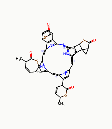 CC1C=CC(C2=CC3=NC/2=C\C2=C4C5C=CC(C)C(=O)SC45C(/C=C4N=C(/N=c5\[nH]/c(c6c5C5SC(=O)C7CC675)=C\3)C3=C\4C4C=CC3C(=O)S4)N2)C(=O)S1